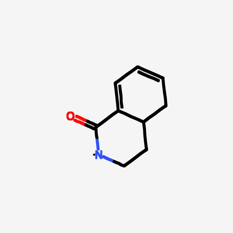 O=C1[N]CCC2CC=CC=C12